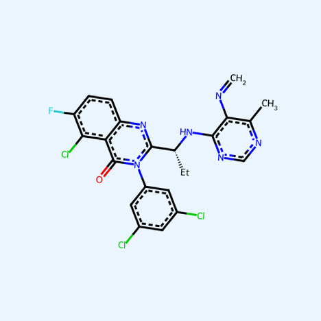 C=Nc1c(C)ncnc1N[C@H](CC)c1nc2ccc(F)c(Cl)c2c(=O)n1-c1cc(Cl)cc(Cl)c1